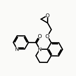 O=C(c1cccnc1)N1CCCc2cccc(OCC3CO3)c21